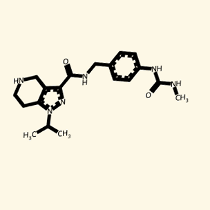 CNC(=O)Nc1ccc(CNC(=O)c2nn(C(C)C)c3c2CNCC3)cc1